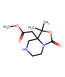 COC(=O)CC12CNCCN1C(=O)OC2(C)C